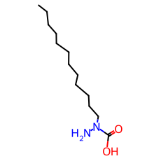 CCCCCCCCCCCCN(N)C(=O)O